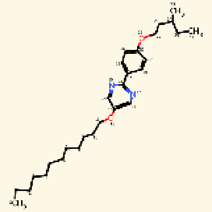 CCCCCCCCCCCCOc1cnc(-c2ccc(OCCC(C)CC)cc2)nc1